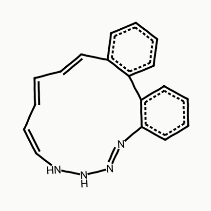 C1=C\NN/N=N/c2ccccc2-c2ccccc2/C=C/C=C/1